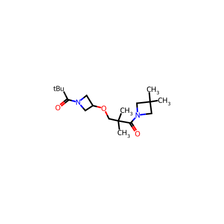 CC1(C)CN(C(=O)C(C)(C)COC2CN(C(=O)C(C)(C)C)C2)C1